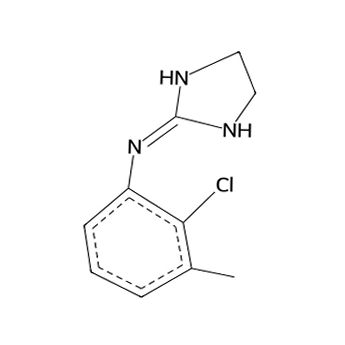 Cc1cccc(N=C2NCCN2)c1Cl